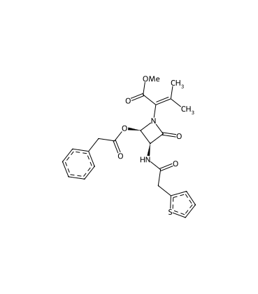 COC(=O)C(=C(C)C)N1C(=O)[C@@H](NC(=O)Cc2cccs2)[C@H]1OC(=O)Cc1ccccc1